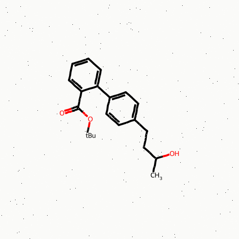 CC(O)CCc1ccc(-c2ccccc2C(=O)OC(C)(C)C)cc1